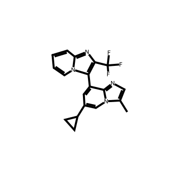 Cc1cnc2c(-c3c(C(F)(F)F)nc4ccccn34)cc(C3CC3)cn12